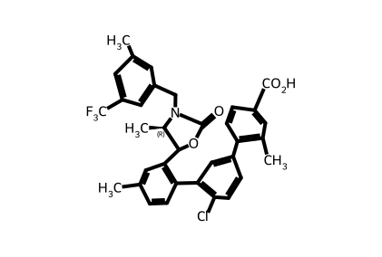 Cc1cc(CN2C(=O)OC(c3cc(C)ccc3-c3cc(-c4ccc(C(=O)O)cc4C)ccc3Cl)[C@H]2C)cc(C(F)(F)F)c1